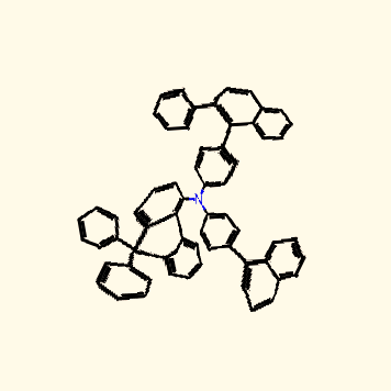 c1ccc(-c2ccc3ccccc3c2-c2ccc(N(c3ccc(-c4cccc5ccccc45)cc3)c3cccc4c3-c3ccccc3C4(c3ccccc3)c3ccccc3)cc2)cc1